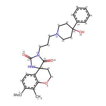 COc1ccc2c(c1C)OCCC21NC(=O)N(CCCN2CCC(O)(c3ccccc3)CC2)C1=O